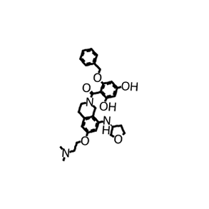 CN(C)CCOc1cc2c(c(N[C@@H]3CCOC3)c1)CN(C(=O)c1c(O)cc(O)cc1OCc1ccccc1)CC2